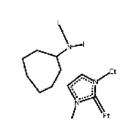 CCn1ccn(C)[c]1=[Pt].IN(I)C1CCCCCC1